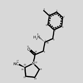 Cc1cccc(C[C@@H](N)CC(=O)N2CCC[C@H]2C#N)c1